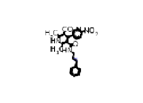 CC1=C(C(=O)O)C(c2ccc([N+](=O)[O-])cc2)C(C(=O)NC/C=C/c2ccccc2)=C(C)N1